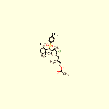 CC(=O)OC/C=C(\C)CCC(Cl)/C(C)=C/C(C1=C(C)CCCC1(C)C)S(=O)(=O)c1ccc(C)cc1